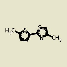 Cc1csc(-c2ccc(C)s2)n1